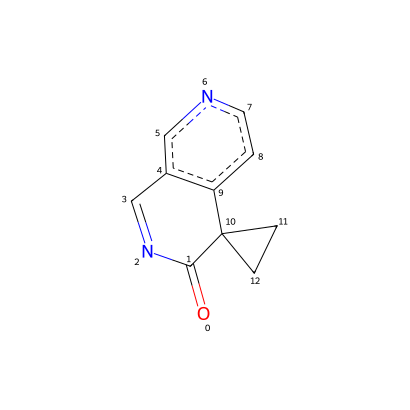 O=C1N=Cc2cnccc2C12CC2